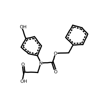 O=C(O)CN(C(=O)OCc1ccccc1)c1ccc(O)cc1